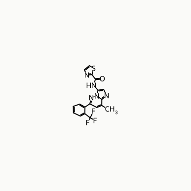 Cc1cc(-c2ccccc2C(F)(F)F)nn2c(NC(=O)c3nccs3)cnc12